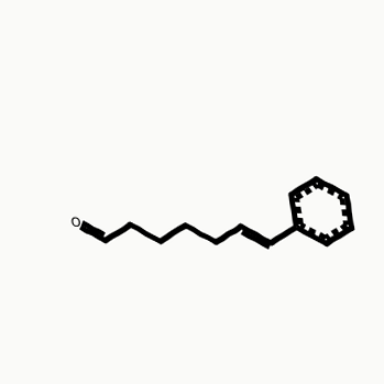 O=CCCCCC=Cc1ccccc1